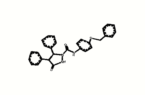 O=C1NN(C(=O)Nc2ccc(OCc3ccccc3)cc2)C(c2ccccc2)C1c1ccccc1